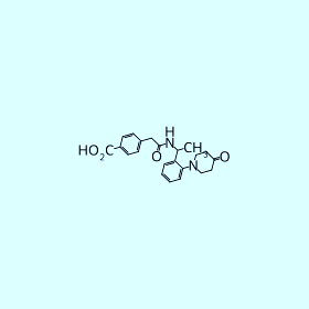 CC(NC(=O)Cc1ccc(C(=O)O)cc1)c1ccccc1N1CCC(=O)CC1